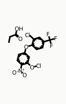 CCC(=O)O.O=[N+]([O-])c1ccc(Oc2ccc(C(F)(F)F)cc2Cl)cc1OCl